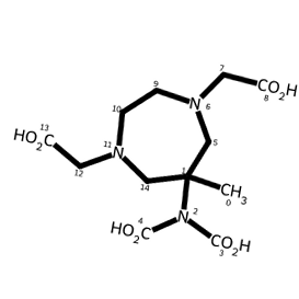 CC1(N(C(=O)O)C(=O)O)CN(CC(=O)O)CCN(CC(=O)O)C1